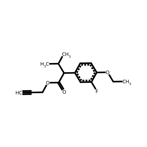 C#CCOC(=O)C(c1ccc(OCC)c(F)c1)C(C)C